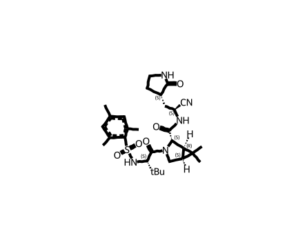 Cc1cc(C)c(S(=O)(=O)N[C@H](C(=O)N2C[C@H]3[C@@H]([C@H]2C(=O)N[C@H](C#N)C[C@@H]2CCNC2=O)C3(C)C)C(C)(C)C)c(C)c1